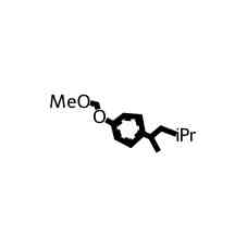 COCOc1ccc(C(C)CC(C)C)cc1